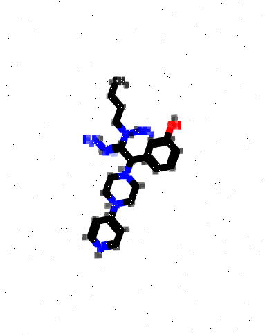 CCCCN(N)/C(=N\N)C(c1cccc(O)c1)N1CCN(c2ccncc2)CC1